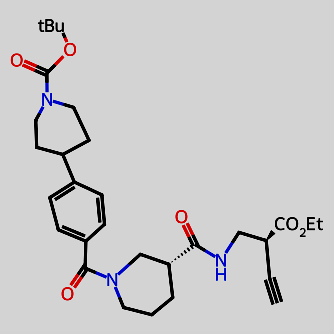 C#C[C@@H](CNC(=O)[C@@H]1CCCN(C(=O)c2ccc(C3CCN(C(=O)OC(C)(C)C)CC3)cc2)C1)C(=O)OCC